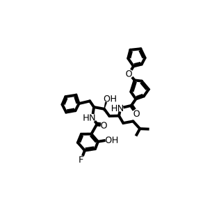 CC(C)CCC(C[C@H](O)C(Cc1ccccc1)NC(=O)c1ccc(F)cc1O)NC(=O)c1cccc(Oc2ccccc2)c1